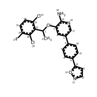 CC(Oc1cc(-c2ccc(-c3ccno3)cc2)cnc1N)c1c(Cl)ccc(F)c1Cl